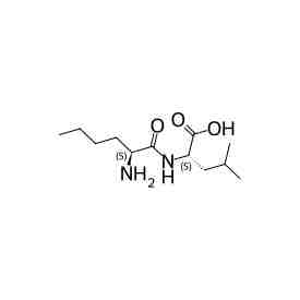 CCCC[C@H](N)C(=O)N[C@@H](CC(C)C)C(=O)O